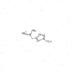 CCCCN(CCCC)Cc1nc(C(=O)O)co1